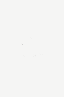 N=C=S.c1ncc2[nH]cnc2n1